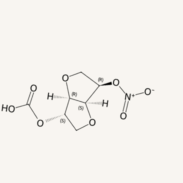 O=C(O)O[C@H]1CO[C@H]2[C@@H]1OC[C@H]2O[N+](=O)[O-]